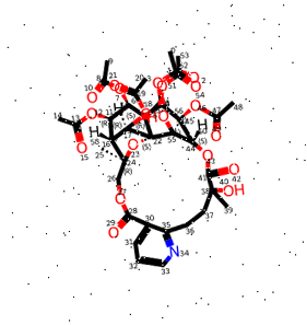 CC(=O)OC[C@]12[C@H](OC(C)=O)[C@H](OC(C)=O)[C@@H]3[C@@H](OC(C)=O)[C@@]14O[C@@]3(C)COC(=O)c1cccnc1CCC(C)(O)C(=O)O[C@@H]([C@H](OC(C)=O)[C@@H]2OC(C)=O)[C@]4(C)O